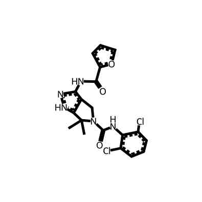 CC1(C)c2[nH]nc(NC(=O)c3ccco3)c2CN1C(=O)Nc1c(Cl)cccc1Cl